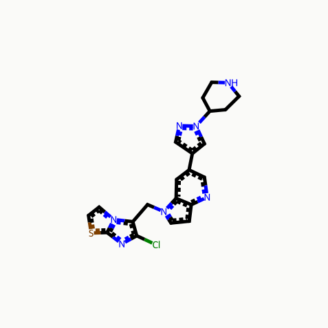 Clc1nc2sccn2c1Cn1ccc2ncc(-c3cnn(C4CCNCC4)c3)cc21